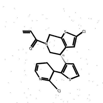 C=CC(=O)N1Cc2sc(Cl)cc2[C@H](c2ccsc2C2CC=CN=C2Cl)C1